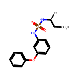 CC[C@@H](CC(=O)O)NS(=O)(=O)Nc1cccc(Oc2ccccc2)c1